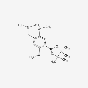 COc1cc(B2OC(C)(C)C(C)(C)O2)c(OC)cc1CN(C)C